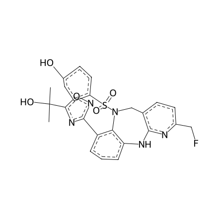 CC(C)(O)c1nc(-c2cccc3c2N(S(=O)(=O)c2ccc(O)cc2)Cc2ccc(CF)nc2N3)no1